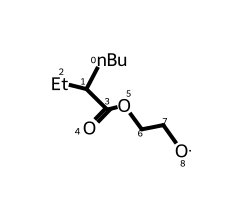 CCCCC(CC)C(=O)OCC[O]